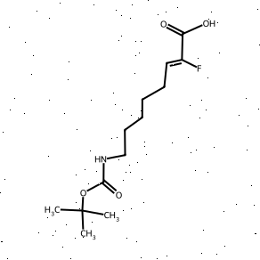 CC(C)(C)OC(=O)NCCCCCC=C(F)C(=O)O